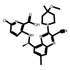 COC1(C)CCN(c2nc3c([C@@H](C)Nc4ccc(Cl)nc4C(=O)O)cc(C)cc3nc2C#N)CC1